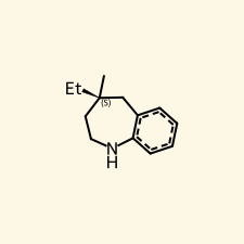 CC[C@]1(C)CCNc2ccccc2C1